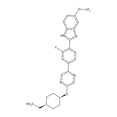 O=C(O)C[C@H]1CC[C@@H](Oc2cnc(-c3ccc(-c4nc5cc(OC(F)(F)F)ccc5[nH]4)c(F)c3)cn2)CC1